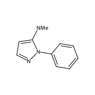 CNc1ccnn1-c1ccccc1